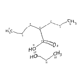 CCCC(CCC)C(=O)O.CCO